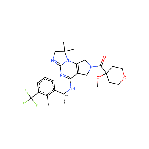 COC1(C(=O)N2CC3=C(C2)N2C(=NCC2(C)C)N=C3N[C@H](C)c2cccc(C(F)(F)F)c2C)CCOCC1